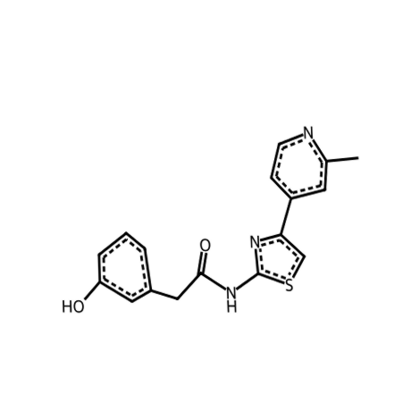 Cc1cc(-c2csc(NC(=O)Cc3cccc(O)c3)n2)ccn1